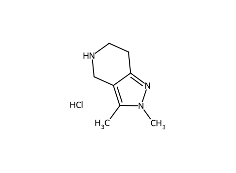 Cc1c2c(nn1C)CCNC2.Cl